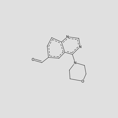 O=Cc1ccc2ncnc(N3CCOCC3)c2c1